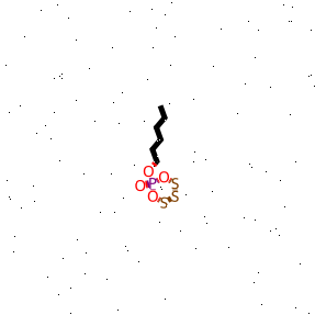 CCCCCCOP1(=O)OSSSO1